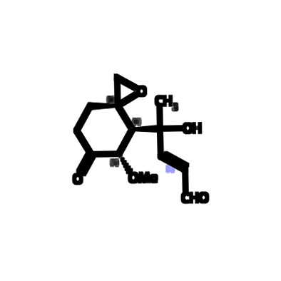 CO[C@@H]1C(=O)CC[C@]2(CO2)[C@H]1C(C)(O)/C=C/C=O